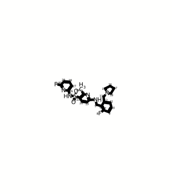 Cc1nc(NCc2c(F)cccc2CN2CCCC2)ccc1S(=O)(=O)Nc1cccc(F)n1